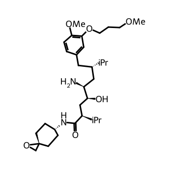 COCCCOc1cc(C[C@@H](C[C@H](N)[C@@H](O)C[C@H](C(=O)N[C@H]2CC[C@@]3(CC2)CO3)C(C)C)C(C)C)ccc1OC